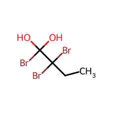 CCC(Br)(Br)C(O)(O)Br